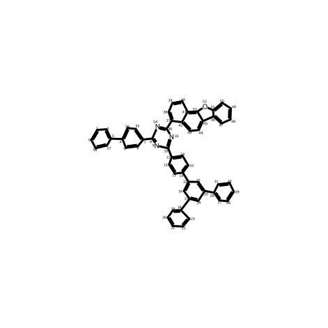 c1ccc(-c2ccc(-c3nc(-c4ccc(-c5cc(-c6ccccc6)cc(-c6ccccc6)c5)cc4)nc(-c4cccc5c4ccc4c6ccccc6oc54)n3)cc2)cc1